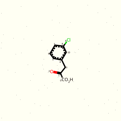 O=C(O)C(=O)Cc1cccc(Cl)c1